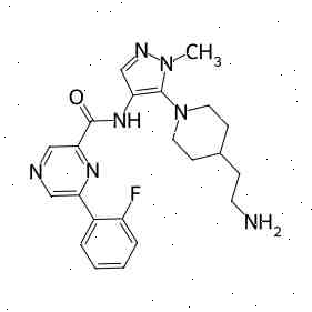 Cn1ncc(NC(=O)c2cncc(-c3ccccc3F)n2)c1N1CCC(CCN)CC1